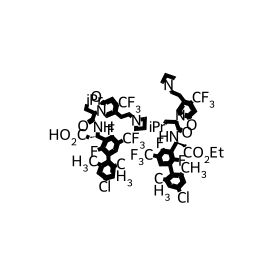 CCOC(=O)C[C@H](NC(=O)C(CC(C)C)n1cc(CCN2CCC2)c(C(F)(F)F)cc1=O)c1c(F)c(-c2c(C)cc(Cl)cc2C)cc(C(F)(F)F)c1F.Cc1cc(Cl)cc(C)c1-c1cc(C(F)(F)F)c(F)c([C@H](CC(=O)O)NC(=O)C(CC(C)C)n2cc(CCN3CCC3)c(C(F)(F)F)cc2=O)c1F